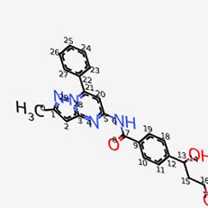 Cc1cc2nc(NC(=O)c3ccc(C(O)CCO)cc3)cc(-c3ccccc3)n2n1